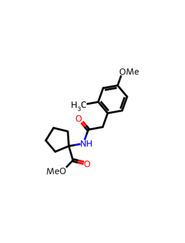 COC(=O)C1(NC(=O)Cc2ccc(OC)cc2C)CCCC1